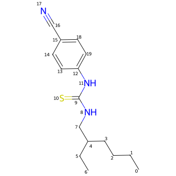 CCCCC(CC)CNC(=S)Nc1ccc(C#N)cc1